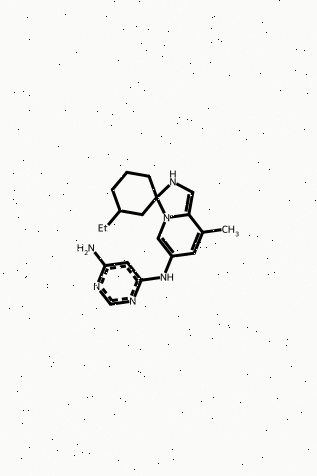 CCC1CCCC2(C1)NC=C1C(C)=CC(Nc3cc(N)ncn3)=CN12